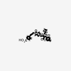 COC(=O)C1=C(CN2CCN3C(=O)N(CC#Cc4ccc(C(=O)O)cc4F)CC3C2)NC(c2nccs2)=NC1c1ccc(F)cc1Cl